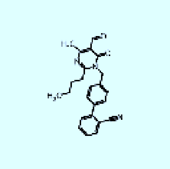 CCCCc1nc(C)c(C=O)c(=O)n1Cc1ccc(-c2ccccc2C#N)cc1